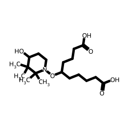 CC1(C)C(O)CCN(OC(CCCCC(=O)O)CCCC(=O)O)C1(C)C